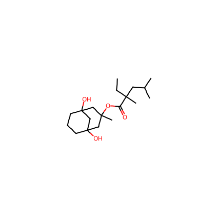 CCC(C)(CC(C)C)C(=O)OC1(C)CC2(O)CCCC(O)(C2)C1